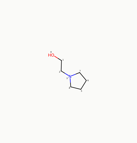 OCCN1[CH]CCC1